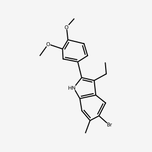 CCc1c(-c2ccc(OC)c(OC)c2)[nH]c2cc(C)c(Br)cc12